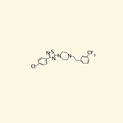 FC(F)(F)c1cccc(CCN2CCN(c3nc(-c4ccc(Cl)cc4)ns3)CC2)c1